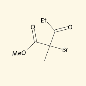 CCC(=O)C(C)(Br)C(=O)OC